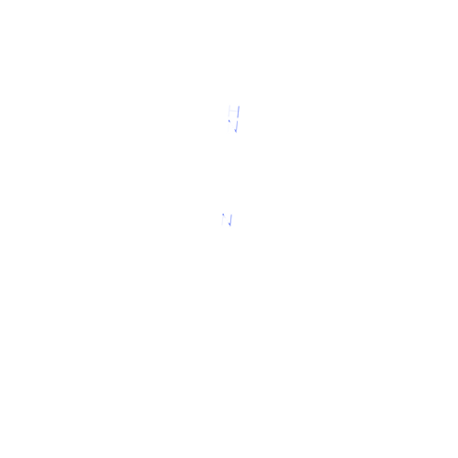 c1ccc(CN2CCNc3ccccc32)cc1